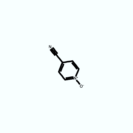 N#Cc1cc[n+]([O-])cc1